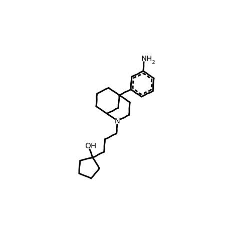 Nc1cccc(C23CCCC(C2)N(CCCC2(O)CCCC2)CC3)c1